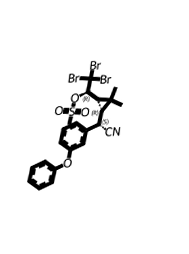 CC1(C)C([C@@H](OS(C)(=O)=O)C(Br)(Br)Br)[C@H]1[C@H](C#N)c1cccc(Oc2ccccc2)c1